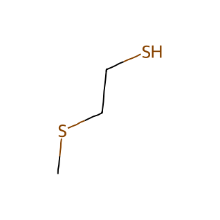 CSCCS